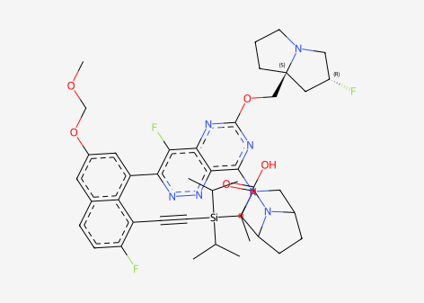 COCOc1cc(-c2nnc3c(N4CC5CCC(C4)N5C(=O)O)nc(OC[C@@]45CCCN4C[C@H](F)C5)nc3c2F)c2c(C#C[Si](C(C)C)(C(C)C)C(C)C)c(F)ccc2c1